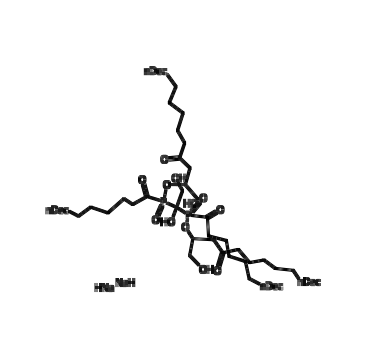 CCCCCCCCCCCCCCCC(=O)CC(CO)OP(=O)(C(=O)CCCCCCCCCCCCCCC)C(O)(CO)P(=O)(OC(CO)CC(=O)CCCCCCCCCCCCCCC)C(=O)CCCCCCCCCCCCCCC.[NaH].[NaH]